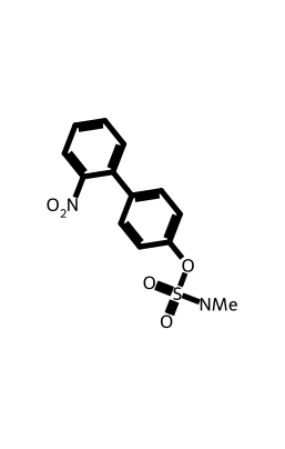 CNS(=O)(=O)Oc1ccc(-c2ccccc2[N+](=O)[O-])cc1